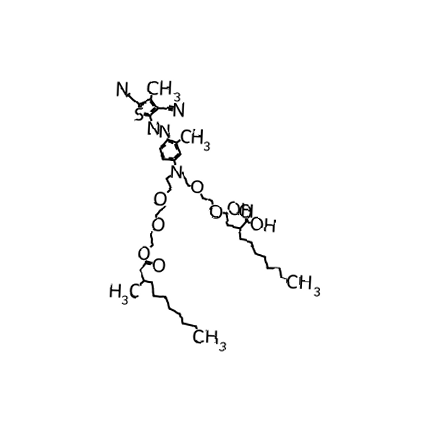 CCCCCCCCC(C)CC(=O)OCCOCCOCCN(CCOCCOC(O)CC(CCCCCCCC)C(=O)O)c1ccc(/N=N/c2sc(C#N)c(C)c2C#N)c(C)c1